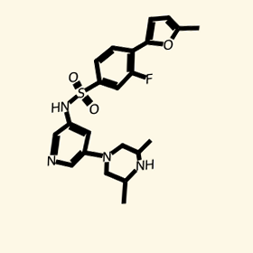 Cc1ccc(-c2ccc(S(=O)(=O)Nc3cncc(N4CC(C)NC(C)C4)c3)cc2F)o1